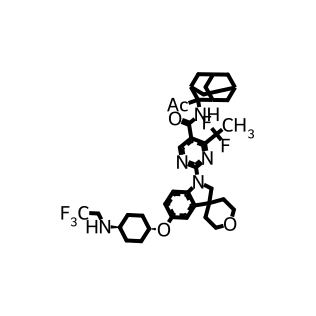 CC(=O)C1(NC(=O)c2cnc(N3CC4(CCOCC4)c4cc(O[C@H]5CC[C@H](NCC(F)(F)F)CC5)ccc43)nc2C(C)(F)F)C2CC3CC(C2)CC1C3